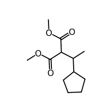 COC(=O)C(C(=O)OC)C(C)C1CCCC1